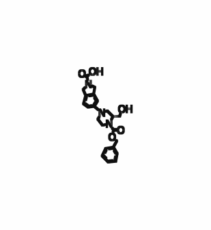 O=C(O)N1Cc2ccc(N3CCN(C(=O)OCc4ccccc4)[C@H](CO)C3)cc2C1